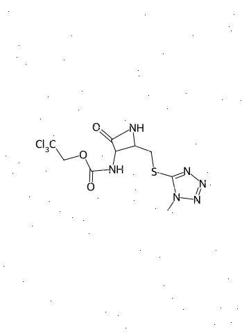 Cn1nnnc1SCC1NC(=O)C1NC(=O)OCC(Cl)(Cl)Cl